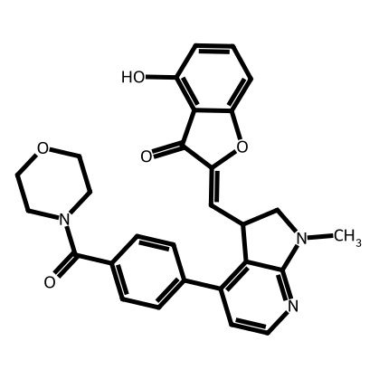 CN1CC(/C=C2\Oc3cccc(O)c3C2=O)c2c(-c3ccc(C(=O)N4CCOCC4)cc3)ccnc21